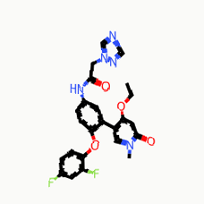 CCOc1cc(=O)n(C)cc1-c1cc(NC(=O)Cn2cncn2)ccc1Oc1ccc(F)cc1F